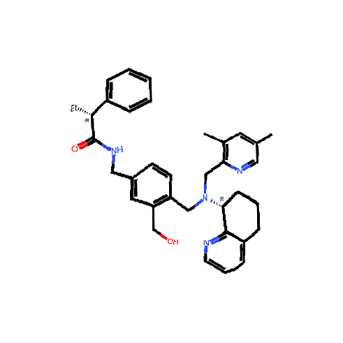 CC[C@@H](C(=O)NCc1ccc(CN(Cc2ncc(C)cc2C)[C@@H]2CCCc3cccnc32)c(CO)c1)c1ccccc1